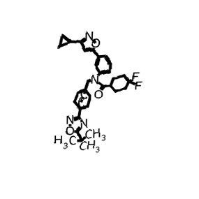 CC(C)(C)c1nc(C23CCC(CN(C(=O)C4CCC(F)(F)CC4)c4cccc(-c5cc(C6CC6)no5)c4)(CC2)CC3)no1